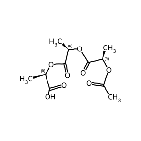 CC(=O)O[C@H](C)C(=O)O[C@H](C)C(=O)O[C@H](C)C(=O)O